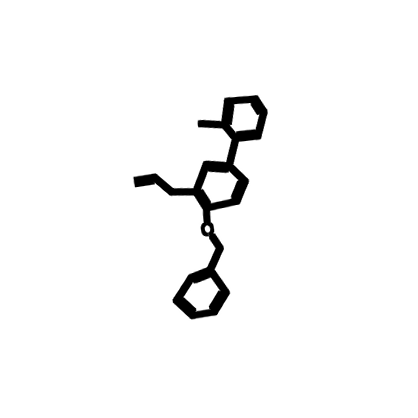 C=CCc1cc(-c2ccccc2C)ccc1OCc1ccccc1